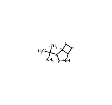 CC(C)(C)C1CNC2CCC21